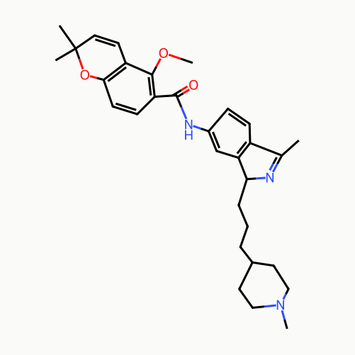 COc1c(C(=O)Nc2ccc3c(c2)C(CCCC2CCN(C)CC2)N=C3C)ccc2c1C=CC(C)(C)O2